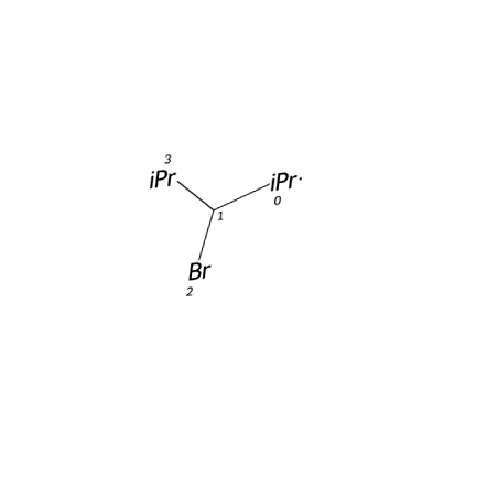 C[C](C)C(Br)C(C)C